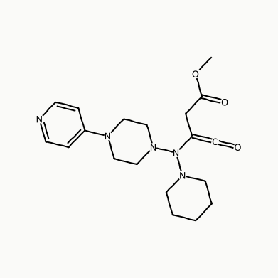 COC(=O)CC(=C=O)N(N1CCCCC1)N1CCN(c2ccncc2)CC1